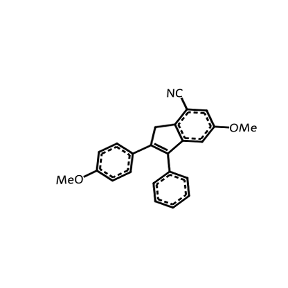 COc1ccc(C2=C(c3ccccc3)c3cc(OC)cc(C#N)c3C2)cc1